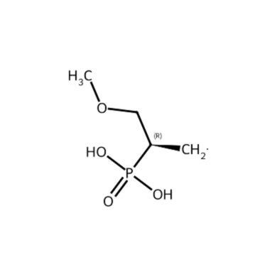 [CH2][C@H](COC)P(=O)(O)O